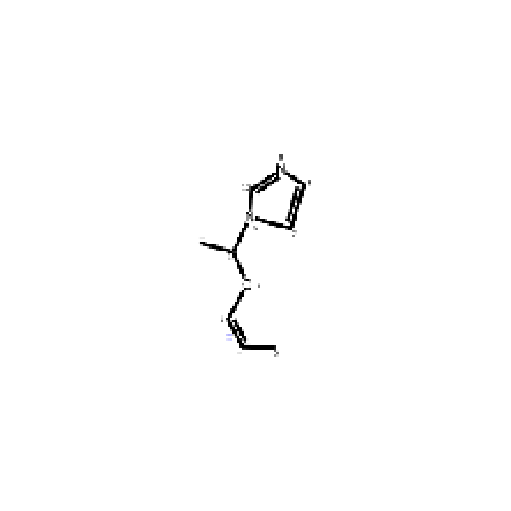 C/C=C\OC(C)n1ccnc1